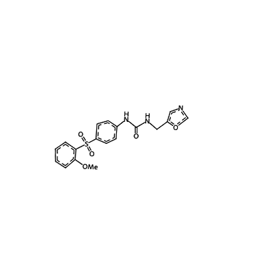 COc1ccccc1S(=O)(=O)c1ccc(NC(=O)NCc2cnco2)cc1